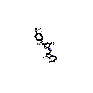 Bc1ccc(NC2=CC(=O)/C(=C/c3c[nH]c4ncccc34)O2)cc1